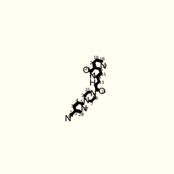 N#Cc1ccc(N2CCN(C(=O)CCc3cc4ncccc4c(=O)[nH]3)CC2)nc1